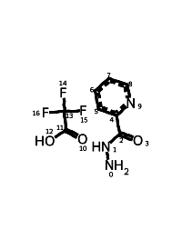 NNC(=O)c1ccccn1.O=C(O)C(F)(F)F